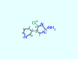 Nc1ncc(-c2cccnc2)c(Cl)n1